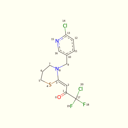 O=C(C=C1SCCCN1Cc1ccc(Cl)nc1)C(F)(F)Cl